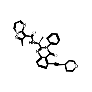 Cc1nn2cccnc2c1C(=O)N[C@@H](C)c1nc2cccc(C#CC3CCOCC3)c2c(=O)n1-c1ccccc1